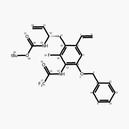 C=Cc1cc(OCc2ccccc2)c(NC(=O)C(F)(F)F)c(F)c1C[C@@H](C=C)NC(=O)OC(C)(C)C